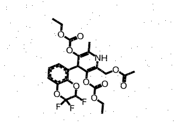 CCOC(=O)OC1=C(C)NC(COC(C)=O)=C(OC(=O)OCC)C1c1cccc2c1OC(F)C(F)(F)O2